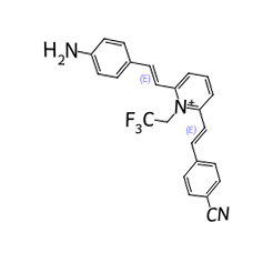 N#Cc1ccc(/C=C/c2cccc(/C=C/c3ccc(N)cc3)[n+]2CC(F)(F)F)cc1